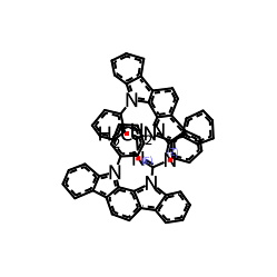 C=C(/N=C(\N=C(/N)c1ccccc1)n1c2ccccc2c2ccc3c4ccccc4n(-c4ccccc4)c3c21)n1c2ccccc2c2ccc3c4ccccc4n(-c4ccccc4)c3c21